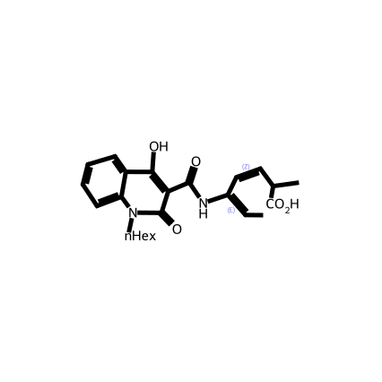 C/C=C(\C=C/C(C)C(=O)O)NC(=O)c1c(O)c2ccccc2n(CCCCCC)c1=O